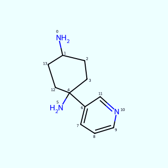 NC1CCC(N)(c2cccnc2)CC1